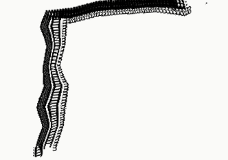 N.N.N.N.N.N.N.N.N.N.N.N.N.N.N.N.N.N.N.N.N.N.N.N.N.N.N.N.N.N.N.N.N.N.N.N.N.N.N.N.N.N.N.N.N.N.N.N.N.N.N.N.N.N.N.N.N.N.N.N.N.N.N.N.N.N.N.N.N.N.N.N.N.N.N.N.N.N.N.N.N.N.N.N.N.N.N.N.N.N.N.N.N.N.[N].[O].[O].[O].[O].[O]